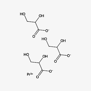 O=C([O-])C(O)CO.O=C([O-])C(O)CO.O=C([O-])C(O)CO.[Pr+3]